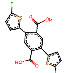 O=C(O)c1cc(-c2ccc(F)s2)c(C(=O)O)cc1-c1ccc(F)s1